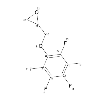 Cc1c(F)c(F)c(I)c(OCC2CO2)c1F